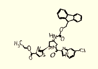 CCOC(=O)c1csc([C@H]2C[C@@H](NC(=O)OCC3c4ccccc4-c4ccccc43)CN2C(=O)c2cn3ccc(Cl)cc3n2)n1